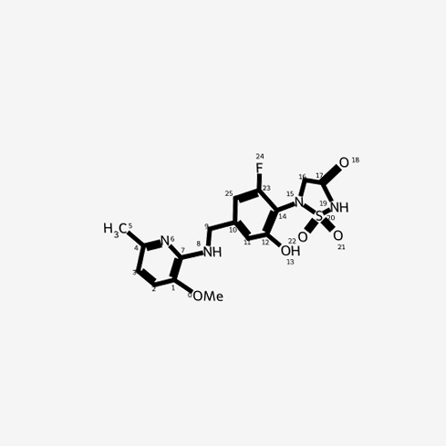 COc1ccc(C)nc1NCc1cc(O)c(N2CC(=O)NS2(=O)=O)c(F)c1